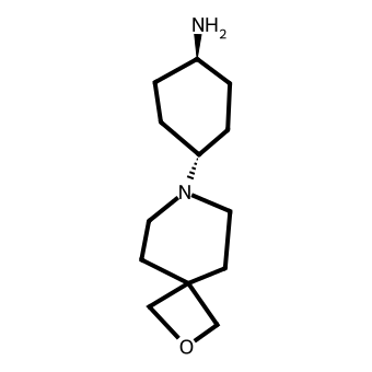 N[C@H]1CC[C@H](N2CCC3(CC2)COC3)CC1